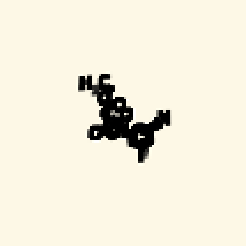 CCOC(=O)CN1C(=O)CN(c2cc(F)cc(C#N)c2)C1=O